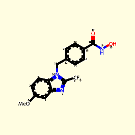 COc1ccc2c(c1)nc(C(F)(F)F)n2Cc1ccc(C(=O)NO)cc1